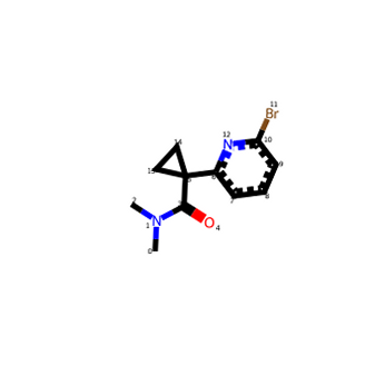 CN(C)C(=O)C1(c2cccc(Br)n2)CC1